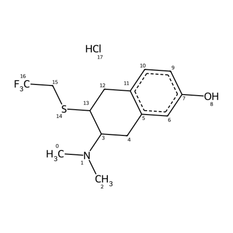 CN(C)C1Cc2cc(O)ccc2CC1SCC(F)(F)F.Cl